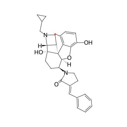 Cc1ccc(O)c2c1[C@]13C4CN(CC5CC5)[C@H]4[C@]1(O)CC[C@H](N1CC/C(=C\c4ccccc4)C1=O)[C@@H]3O2